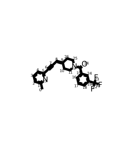 Cc1cccc(C#CC=C2CCN(C(=O)c3cccc(C(F)(F)F)c3)CC2)n1